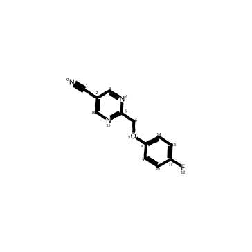 N#Cc1cnc(COc2ccc(F)cc2)nc1